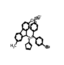 Cc1ccc2c(c1)[CH]([Zr+2]([C]1=CC=CC1)=[C](c1ccc(C(C)(C)C)cc1)c1ccc(C(C)(C)C)cc1)c1cc(C)ccc1-2.[Cl-].[Cl-]